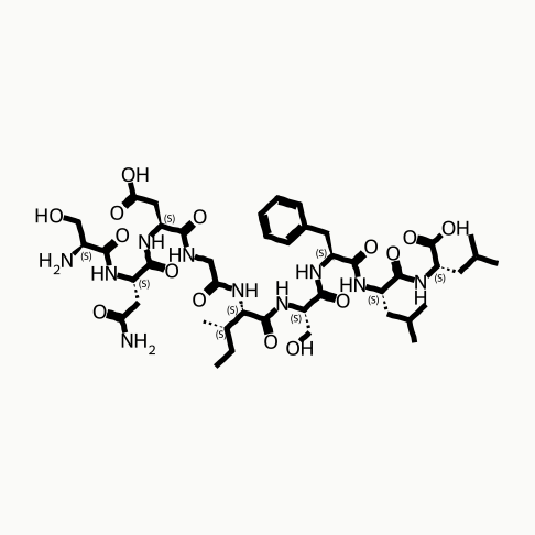 CC[C@H](C)[C@H](NC(=O)CNC(=O)[C@H](CC(=O)O)NC(=O)[C@H](CC(N)=O)NC(=O)[C@@H](N)CO)C(=O)N[C@@H](CO)C(=O)N[C@@H](Cc1ccccc1)C(=O)N[C@@H](CC(C)C)C(=O)N[C@@H](CC(C)C)C(=O)O